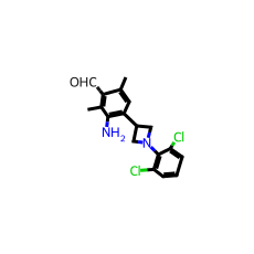 Cc1cc(C2CN(c3c(Cl)cccc3Cl)C2)c(N)c(C)c1C=O